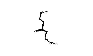 CCCCCSCC(=O)CSCCCCC